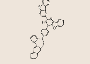 c1ccc2c(c1)-c1cc3ccccc3cc1CCC2c1ccc(C2NC(c3ccc4sc5ccccc5c4c3)=Nc3c2oc2ccccc32)cc1